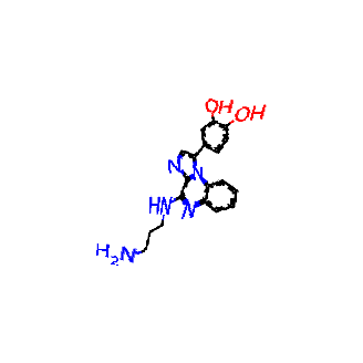 NCCCNc1nc2ccccc2n2c(-c3ccc(O)c(O)c3)cnc12